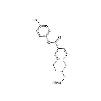 CCCCCOC1CCc2cc(C(=O)Oc3ccc(CCC)cc3)ccc2C1